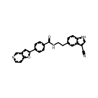 N#Cc1c[nH]c2ccc(CCNC(=O)c3ccc(-c4cc5cnccc5o4)cc3)cc12